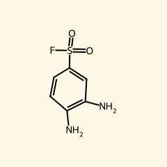 Nc1ccc(S(=O)(=O)F)cc1N